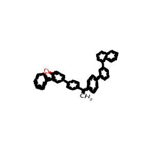 C=C(c1ccc(-c2cccc(-c3cccc4ccccc34)c2)cc1)c1ccc(-c2ccc3oc4ccccc4c3c2)cc1